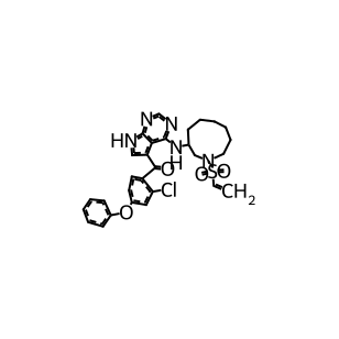 C=CS(=O)(=O)N1CCCCCCC(Nc2ncnc3[nH]cc(C(=O)c4ccc(Oc5ccccc5)cc4Cl)c23)C1